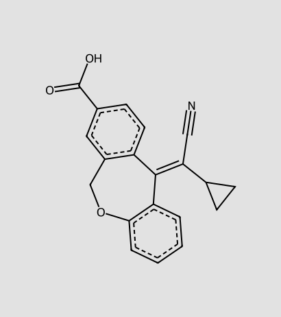 N#C/C(=C1\c2ccc(C(=O)O)cc2COc2ccccc21)C1CC1